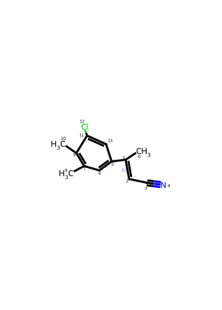 C/C(=C\C#N)c1cc(C)c(C)c(Cl)c1